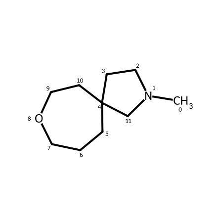 CN1CCC2(CCCOCC2)C1